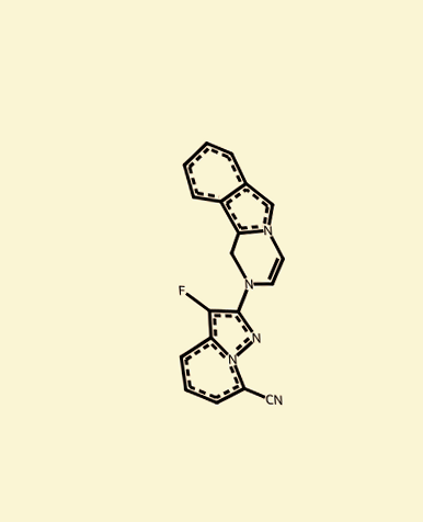 N#Cc1cccc2c(F)c(N3C=Cn4cc5ccccc5c4C3)nn12